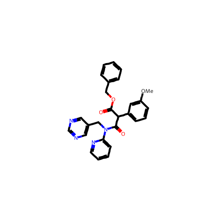 COc1cccc(C(C(=O)OCc2ccccc2)C(=O)N(Cc2cncnc2)c2ccccn2)c1